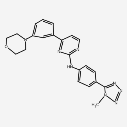 Cn1nnnc1-c1ccc(Nc2nccc(-c3cccc(N4CCOCC4)c3)n2)cc1